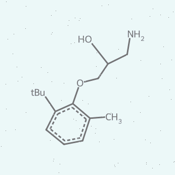 Cc1cccc(C(C)(C)C)c1OCC(O)CN